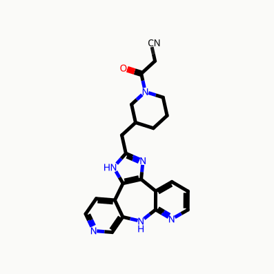 N#CCC(=O)N1CCCC(Cc2nc3c([nH]2)-c2ccncc2Nc2ncccc2-3)C1